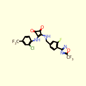 O=c1c(NCc2ccc(-c3noc(C(F)(F)F)n3)c(F)c2)c(Nc2ccc(C(F)(F)F)cc2Cl)c1=O